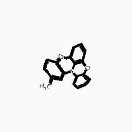 Cc1ccc2c(c1)N1c3ccccc3Oc3cccc(c31)O2